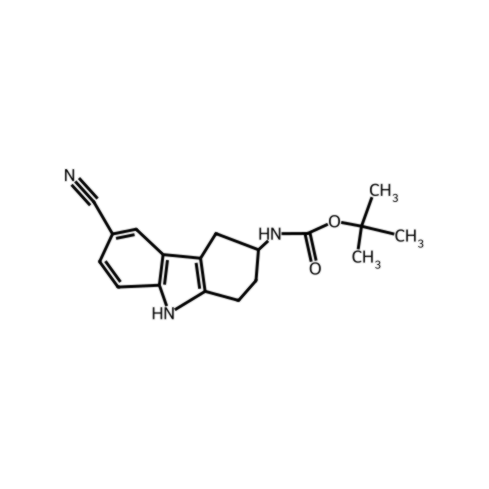 CC(C)(C)OC(=O)NC1CCc2[nH]c3ccc(C#N)cc3c2C1